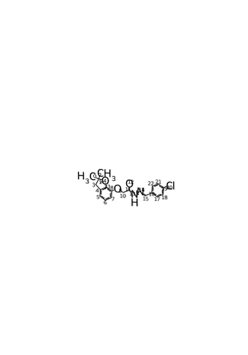 CC1(C)Cc2cccc(OCC(=O)NN=Cc3ccc(Cl)cc3)c2O1